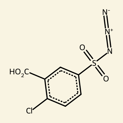 [N-]=[N+]=NS(=O)(=O)c1ccc(Cl)c(C(=O)O)c1